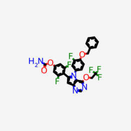 NC(=O)Oc1cc(F)c(-c2cc3ncnc(OCC(F)(F)F)c3n2-c2ccc(OCc3ccccc3)c(F)c2)c(F)c1